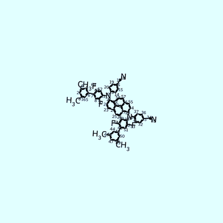 Cc1cc(C)cc(-c2cc(F)c(N(c3ccc(C#N)cc3)c3ccc4ccc5c(N(c6ccc(C#N)cc6)c6cc(F)c(-c7cc(C)cc(C)c7)cc6F)ccc6ccc3c4c65)cc2F)c1